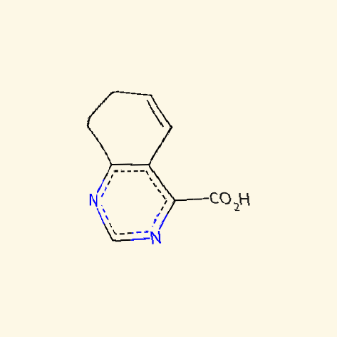 O=C(O)c1ncnc2c1C=CCC2